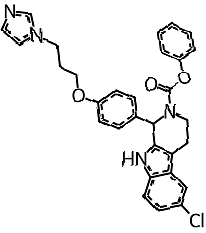 O=C(Oc1ccccc1)N1CCc2c([nH]c3ccc(Cl)cc23)C1c1ccc(OCCCn2ccnc2)cc1